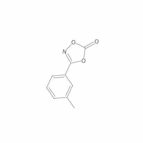 Cc1cccc(-c2noc(=O)o2)c1